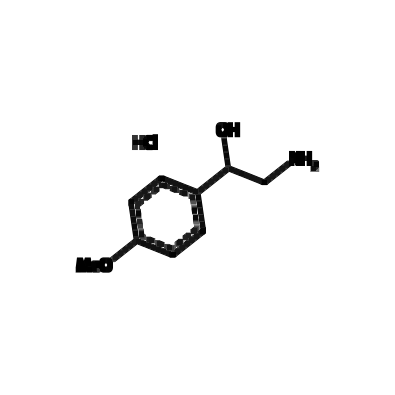 COc1ccc(C(O)CN)cc1.Cl